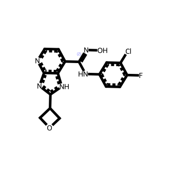 O/N=C(\Nc1ccc(F)c(Cl)c1)c1ccnc2nc(C3COC3)[nH]c12